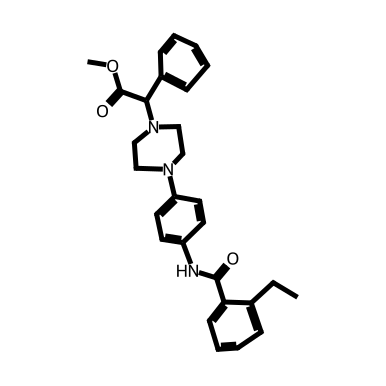 CCc1ccccc1C(=O)Nc1ccc(N2CCN(C(C(=O)OC)c3ccccc3)CC2)cc1